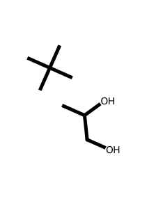 CC(C)(C)C.CC(O)CO